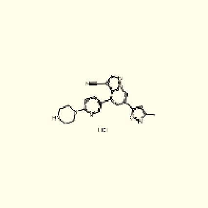 Cc1cc(-c2cc(-c3ccc(N4CCNCC4)nc3)c3c(C#N)cnn3c2)on1.Cl